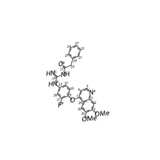 COc1cc2nccc(Oc3ccc(NC(=N)NC(=O)Cc4ccccc4)cc3F)c2cc1OC